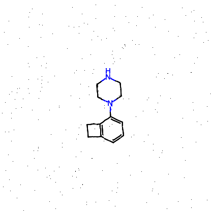 c1cc2c(c(N3CCNCC3)c1)CC2